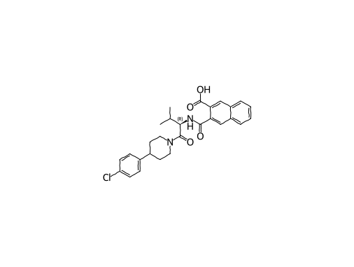 CC(C)[C@@H](NC(=O)c1cc2ccccc2cc1C(=O)O)C(=O)N1CCC(c2ccc(Cl)cc2)CC1